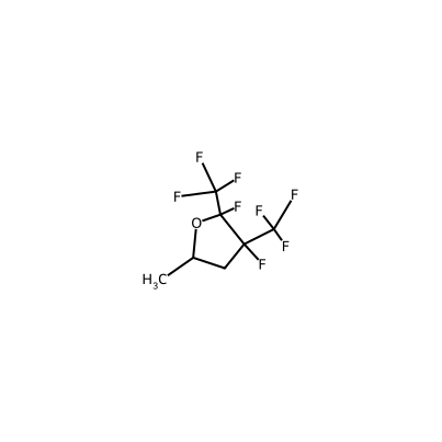 CC1CC(F)(C(F)(F)F)C(F)(C(F)(F)F)O1